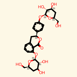 O=C1O[C@H](c2ccc(O[C@@H]3O[C@H](CO)C[C@H](O)[C@H]3O)cc2)Cc2cccc(O[C@@H]3O[C@H](CO)CC(O)[C@H]3O)c21